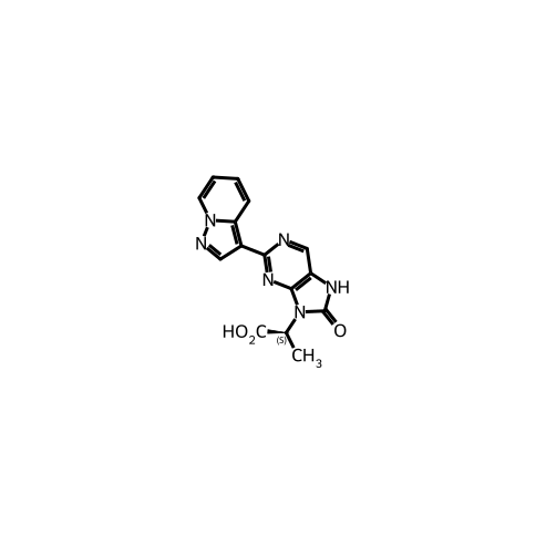 C[C@@H](C(=O)O)n1c(=O)[nH]c2cnc(-c3cnn4ccccc34)nc21